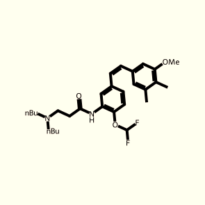 CCCCN(CCCC)CCC(=O)Nc1cc(/C=C\c2cc(C)c(C)c(OC)c2)ccc1OC(F)F